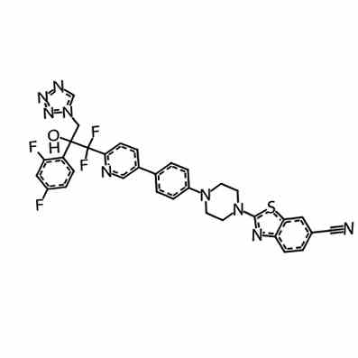 N#Cc1ccc2nc(N3CCN(c4ccc(-c5ccc(C(F)(F)C(O)(Cn6cnnn6)c6ccc(F)cc6F)nc5)cc4)CC3)sc2c1